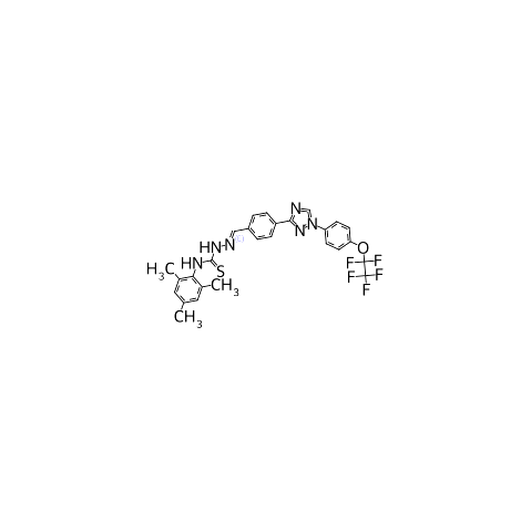 Cc1cc(C)c(NC(=S)N/N=C/c2ccc(-c3ncn(-c4ccc(OC(F)(F)C(F)(F)F)cc4)n3)cc2)c(C)c1